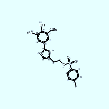 Cc1ccc(S(=O)(=O)OCCc2coc(-c3cc(C(C)(C)C)c(O)c(C(C)(C)C)c3)n2)cc1